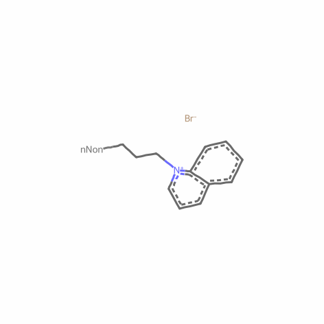 CCCCCCCCCCCC[n+]1cccc2ccccc21.[Br-]